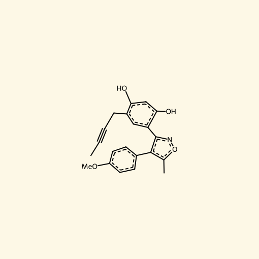 CC#CCc1cc(-c2noc(C)c2-c2ccc(OC)cc2)c(O)cc1O